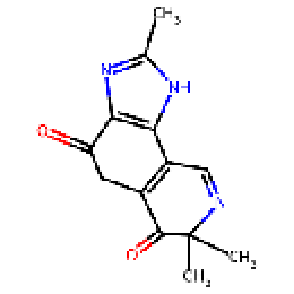 Cc1nc2c([nH]1)C1=C(CC2=O)C(=O)C(C)(C)N=C1